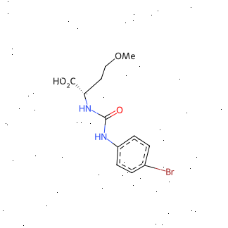 COCC[C@H](NC(=O)Nc1ccc(Br)cc1)C(=O)O